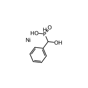 O=[PH](O)C(O)c1ccccc1.[Ni]